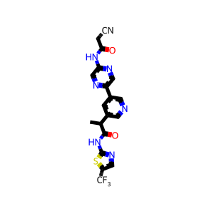 CC(C(=O)Nc1ncc(C(F)(F)F)s1)c1cncc(-c2cnc(NC(=O)CC#N)cn2)c1